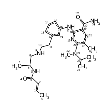 CC=CC(=O)N[C@@H](C)CNCCc1cccc(Nc2nc(N(C)C(C)C)c(C)nc2C(N)=O)c1